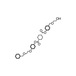 O=C(Oc1ccc(COCCO)cc1)[C@H]1CC[C@H](C(=O)Oc2ccc(OCCOCc3ccccc3)cc2)CC1